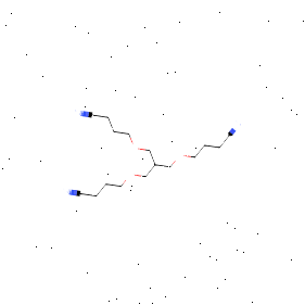 N#CCCCOCC(COCCCC#N)COCCCC#N